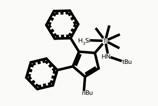 CCCCC1=C[CH]([Ti]([CH3])([CH3])([CH3])([CH3])([SiH3])[NH]C(C)(C)C)C(c2ccccc2)=C1c1ccccc1